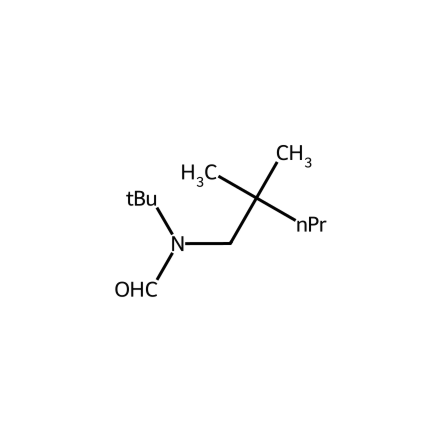 CCCC(C)(C)CN(C=O)C(C)(C)C